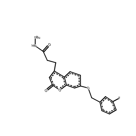 CCCCNC(=O)CCc1cc(=O)oc2cc(OCc3cccc(F)c3)ccc12